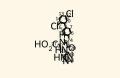 C[C@H](N[C@H](Cc1ccc(-c2cc(Cl)ccc2Cl)cc1)C(=O)Nc1nnn[nH]1)C(=O)O